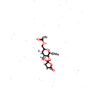 CCCC(=O)OCC1O[C@@H](OC)C(OC2(O)CCC(=O)O2)[C@@H](C)[C@@H]1C